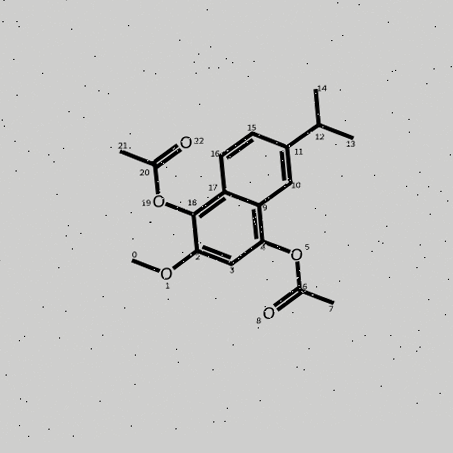 COc1cc(OC(C)=O)c2cc(C(C)C)ccc2c1OC(C)=O